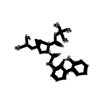 CN(C)CC12CC1N(C(=O)OC(C)(C)C)[C@H](C(=O)Nc1cccc(-c3ccccc3Cl)c1F)C2